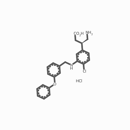 Cl.NC[C@H](CC(=O)O)c1ccc(Cl)c(NCc2cccc(Oc3ccccc3)c2)c1